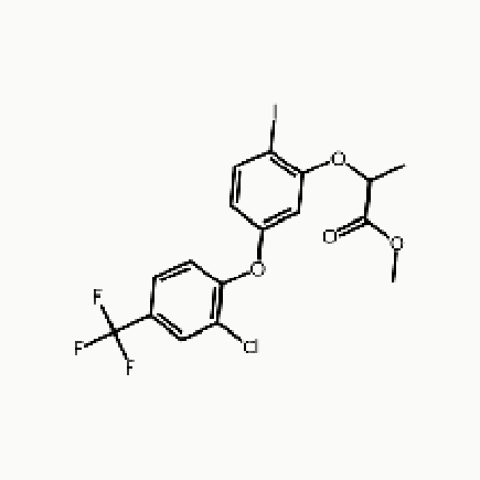 COC(=O)C(C)Oc1cc(Oc2ccc(C(F)(F)F)cc2Cl)ccc1I